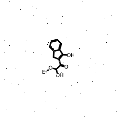 CCOC(O)C(=O)C1=C(O)c2ccccc2C1